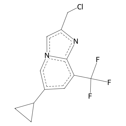 FC(F)(F)c1cc(C2CC2)cn2cc(CCl)nc12